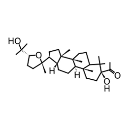 CC(=O)[C@]1(O)CC[C@@]2(C)C(CC[C@]3(C)[C@@H]2CC[C@@H]2[C@@H]([C@]4(C)CC[C@H](C(C)(C)O)O4)CC[C@@]23C)C1(C)C